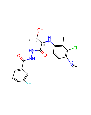 [C-]#[N+]c1ccc(N[C@@H](C(=O)NNC(=O)c2cccc(F)c2)[C@H](C)O)c(C)c1Cl